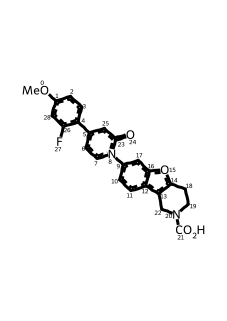 COc1ccc(-c2ccn(-c3ccc4c5c(oc4c3)CCN(C(=O)O)C5)c(=O)c2)c(F)c1